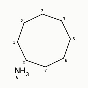 C1CCCCCCC1.N